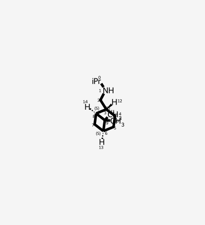 CC(C)NC[C@@H]1CC[C@H]2C[C@@H]1C2(C)C